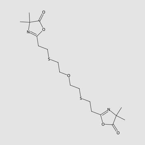 CC1(C)N=C(CCSCCOCCSCCC2=NC(C)(C)C(=O)O2)OC1=O